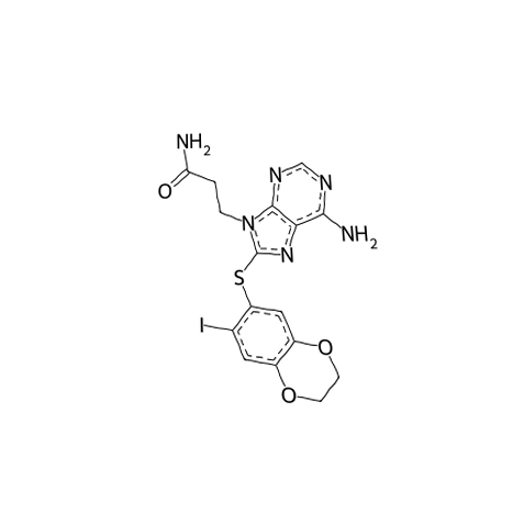 NC(=O)CCn1c(Sc2cc3c(cc2I)OCCO3)nc2c(N)ncnc21